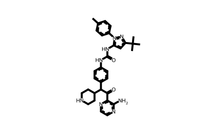 Cc1ccc(-n2nc(C(C)(C)C)cc2NC(=O)Nc2ccc(C(C(=O)c3nccnc3N)C3CCNCC3)cc2)cc1